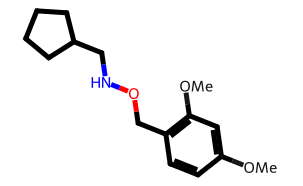 COc1ccc(CONCC2CCCC2)c(OC)c1